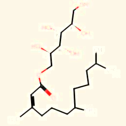 CC(=CC(=O)OC[C@@H](O)[C@@H](O)[C@H](O)[C@H](O)CO)CCCC(C)CCCC(C)C